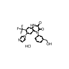 Cl.O=c1[nH]c2cc(C(F)(F)F)c(-n3ccnc3)cc2n(-c2cccc(CO)c2)c1=O